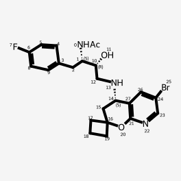 CC(=O)N[C@@H](Cc1ccc(F)cc1)[C@H](O)CN[C@H]1CC2(CCC2)Oc2ncc(Br)cc21